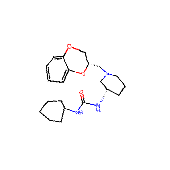 O=C(NC1CCCCC1)N[C@H]1CCCN(C[C@H]2COc3ccccc3O2)C1